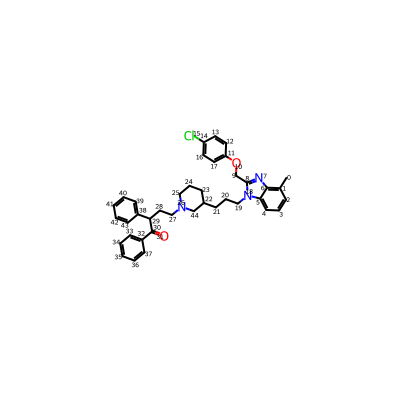 Cc1cccc2c1nc(COc1ccc(Cl)cc1)n2CCCC1CCCN(CCC(C(=O)c2ccccc2)c2ccccc2)C1